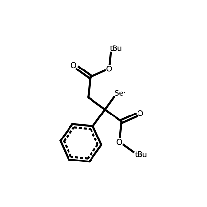 CC(C)(C)OC(=O)CC([Se])(C(=O)OC(C)(C)C)c1ccccc1